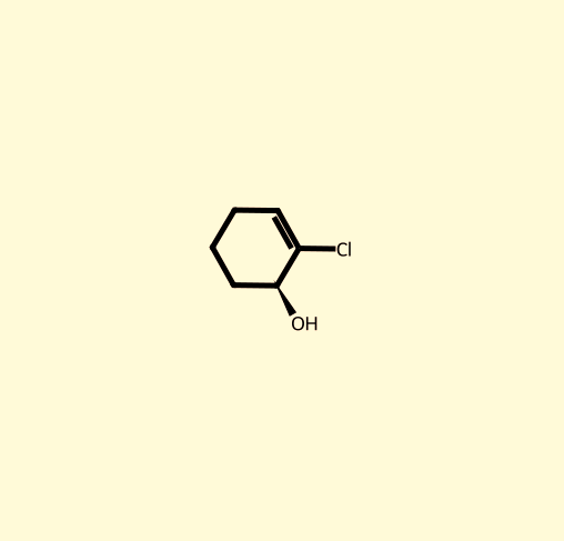 O[C@H]1CCCC=C1Cl